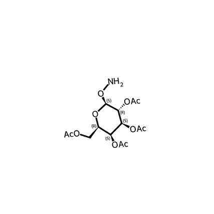 CC(=O)OC[C@H]1O[C@@H](ON)[C@H](OC(C)=O)[C@@H](OC(C)=O)[C@H]1OC(C)=O